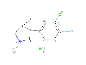 CCN1CC2CC2(c2ccc(F)c(Cl)c2)C1.Cl